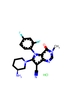 Cl.Cn1cnc2c(C#N)c(N3CCC[C@H](N)C3)n(-c3ccc(F)cc3F)c2c1=O